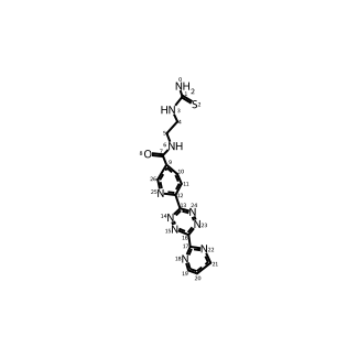 NC(=S)NCCNC(=O)c1ccc(-c2nnc(-c3ncccn3)nn2)nc1